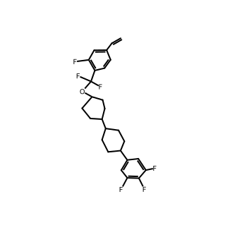 C=Cc1ccc(C(F)(F)OC2CCC(C3CCC(c4cc(F)c(F)c(F)c4)CC3)CC2)c(F)c1